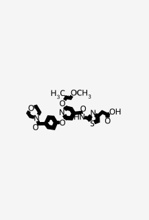 COC[C@@H](C)Oc1cc(C(=O)Nc2nc(CC(=O)O)cs2)cc(Oc2ccc(C(=O)N3CCOCC3)cc2)n1